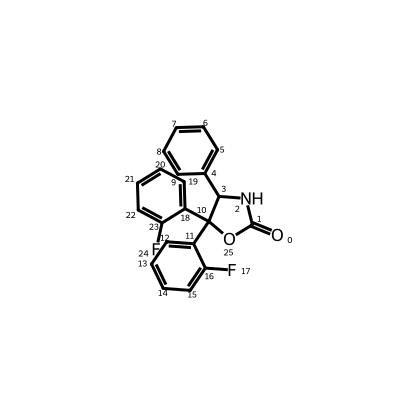 O=C1NC(c2ccccc2)C(c2ccccc2F)(c2ccccc2F)O1